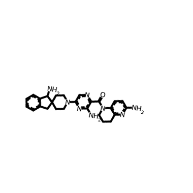 Nc1ccc2c(n1)CCCN2C(=O)c1ncc(N2CCC3(CC2)Cc2ccccc2C3N)nc1N